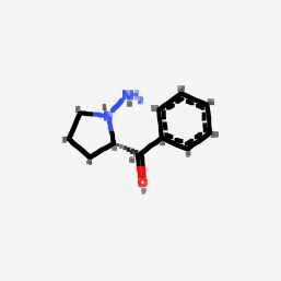 NN1CCC[C@H]1C(=O)c1ccccc1